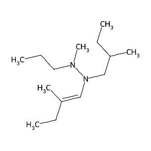 CCCN(C)N(/C=C(\C)CC)CC(C)CC